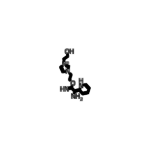 N=C(OCCn1cc[n+](CCO)c1)/C(N)=C1/C=CC=CN1